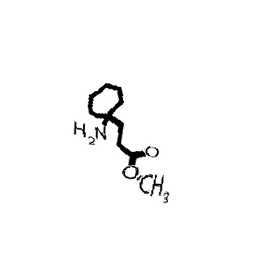 COC(=O)CCC1(N)CCCCC1